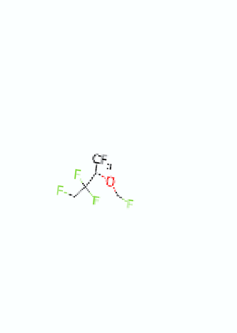 FCOC(C(F)(F)F)C(F)(F)CF